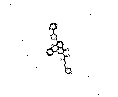 O=C(NCCN1CCCC1)c1cn2c3c(c(N4CCC(c5cnccn5)C4)ccc3c1=O)Oc1ccccc1-2